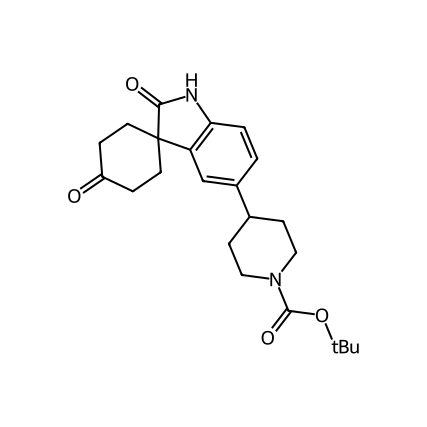 CC(C)(C)OC(=O)N1CCC(c2ccc3c(c2)C2(CCC(=O)CC2)C(=O)N3)CC1